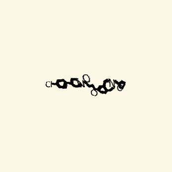 O=C(CCC(=O)N1CCC(c2ccc(Cl)cc2)CC1)c1ccc2c(c1)CCN(CC1CCCO1)CC2